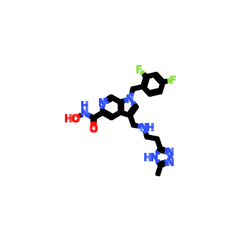 Cc1nnc(CCNCc2cn(Cc3ccc(F)cc3F)c3cnc(C(=O)NO)cc23)[nH]1